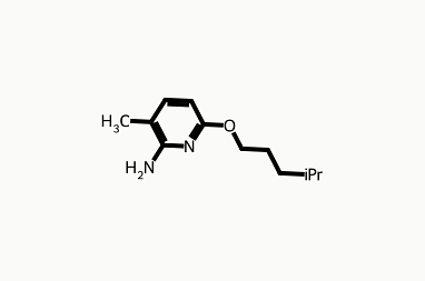 Cc1ccc(OCCCC(C)C)nc1N